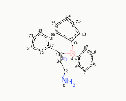 NC/C=C(\B(c1ccccc1)c1ccccc1)c1ccccc1